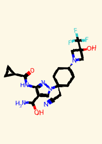 N#CC[C@]1(n2cc(C(N)O)c(NC(=O)C3CC3)n2)CC[C@@H](N2CC(O)(C(F)(F)F)C2)CC1